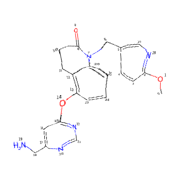 COc1ccc(CN2C(=O)CCc3c(Oc4cc(CN)ncn4)cccc32)cn1